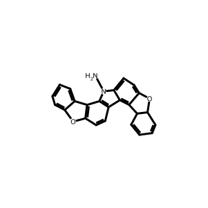 Nn1c2ccc3c(c2c2ccc4oc5ccccc5c4c21)C1C=CC=CC1O3